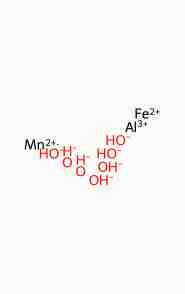 [Al+3].[Fe+2].[Mn+2].[OH-].[OH-].[OH-].[OH-].[OH-].[OH-].[OH-]